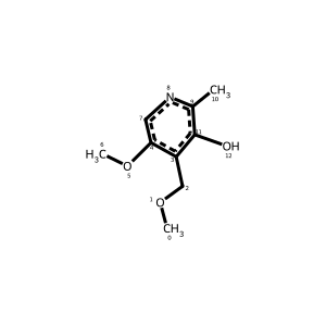 COCc1c(OC)cnc(C)c1O